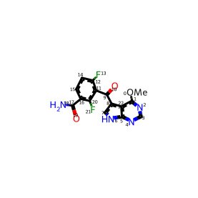 COc1ncnc2[nH]cc(C(=O)c3c(F)ccc(C(N)=O)c3F)c12